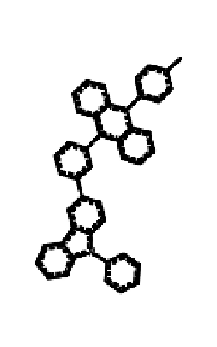 Cc1ccc(-c2c3ccccc3c(-c3cccc(-c4ccc5c(c4)c4ccccc4n5-c4ccccc4)c3)c3ccccc23)cc1